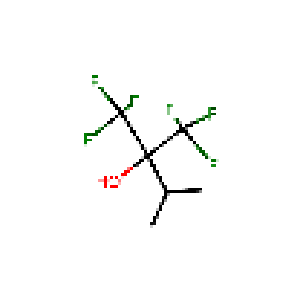 C[C](C)C(O)(C(F)(F)F)C(F)(F)F